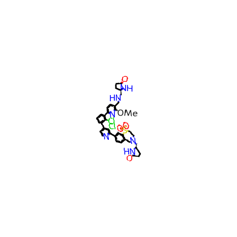 COc1nc(-c2cccc(-c3ccnc(-c4ccc5c(c4)S(=O)(=O)CCN(C[C@@H]4CCC(=O)N4)C5)c3Cl)c2Cl)ccc1CNC[C@H]1CCC(=O)N1